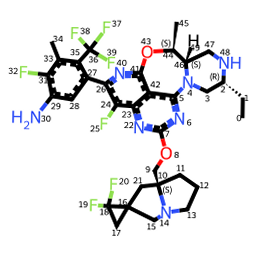 CC[C@@H]1CN2c3nc(OC[C@@]45CCCN4CC4(CC4(F)F)C5)nc4c(F)c(-c5cc(N)c(F)c(C)c5C(F)(F)F)nc(c34)O[C@@H](C)[C@@H]2CN1